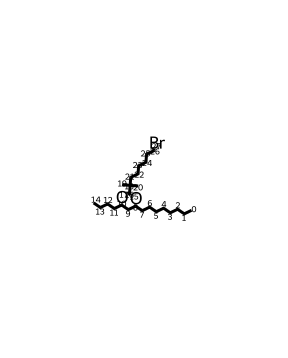 CCCCCCCCC(CCCCCC)OC(=O)C(C)(C)CCCCCCBr